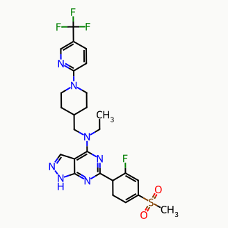 CCN(CC1CCN(c2ccc(C(F)(F)F)cn2)CC1)c1nc(C2CC=C(S(C)(=O)=O)C=C2F)nc2[nH]ncc12